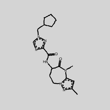 Cc1cc2n(n1)CCC(NC(=O)c1ncn(CC3CCCC3)n1)C(=O)N2C